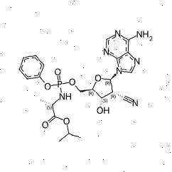 CC(C)OC(=O)[C@H](C)NP(=O)(OC[C@H]1O[C@@H](n2cnc3c(N)ncnc32)[C@H](C#N)[C@@H]1O)Oc1ccccc1